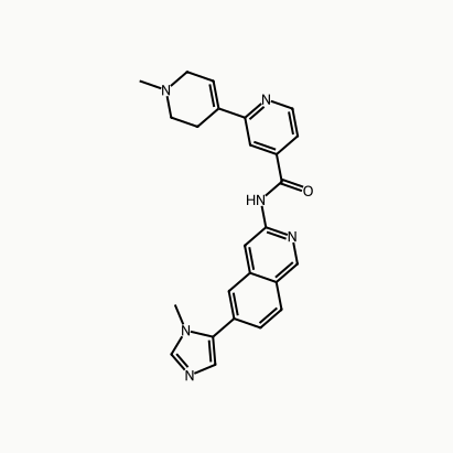 CN1CC=C(c2cc(C(=O)Nc3cc4cc(-c5cncn5C)ccc4cn3)ccn2)CC1